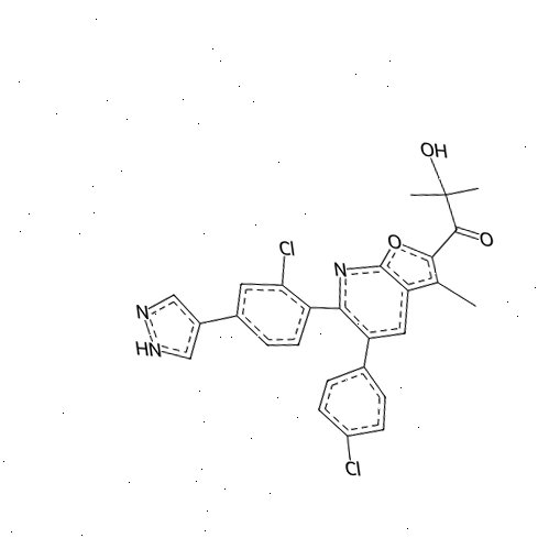 Cc1c(C(=O)C(C)(C)O)oc2nc(-c3ccc(-c4cn[nH]c4)cc3Cl)c(-c3ccc(Cl)cc3)cc12